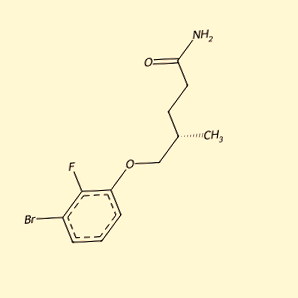 C[C@@H](CCC(N)=O)COc1cccc(Br)c1F